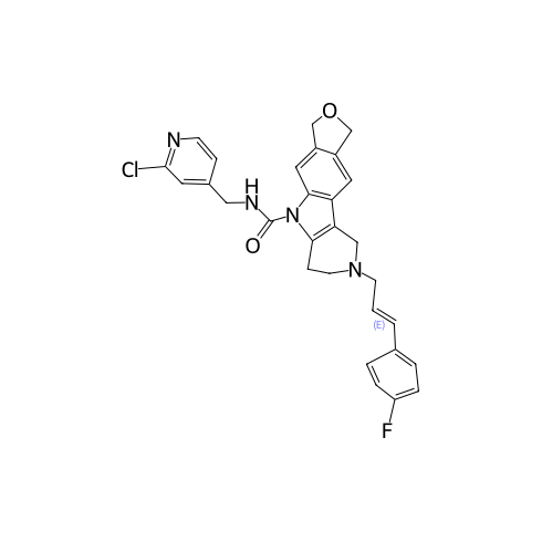 O=C(NCc1ccnc(Cl)c1)n1c2c(c3cc4c(cc31)COC4)CN(C/C=C/c1ccc(F)cc1)CC2